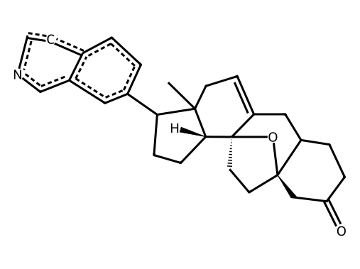 CC12CC=C3CC4CCC(=O)C[C@]45CC[C@]3(O5)[C@@H]1CCC2c1ccc2ccncc2c1